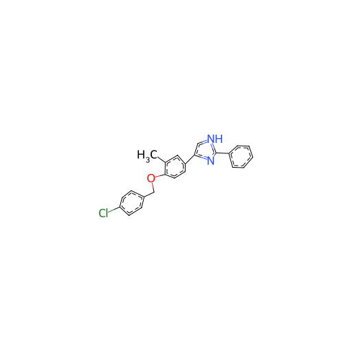 Cc1cc(-c2c[nH]c(-c3ccccc3)n2)ccc1OCc1ccc(Cl)cc1